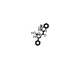 O=C(O)NC(CNC(=O)C1=Nc2ccccc2S(=O)(=O)N1)c1ccccc1